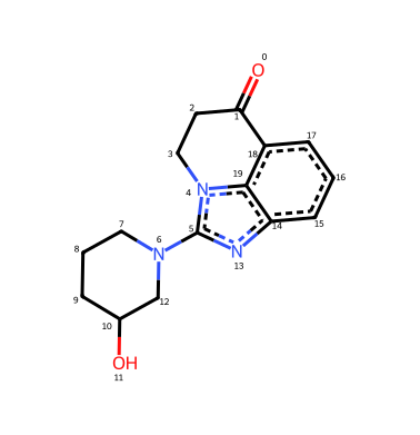 O=C1CCn2c(N3CCCC(O)C3)nc3cccc1c32